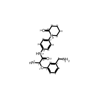 CCCC(Oc1cccc(CN)c1)C(=O)Nc1ccc(N2CCCCC2=O)cc1